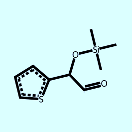 C[Si](C)(C)OC([C]=O)c1cccs1